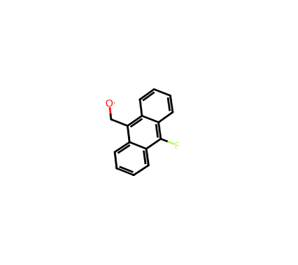 [O]Cc1c2ccccc2c(F)c2ccccc12